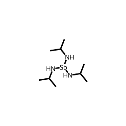 CC(C)[NH][Sb]([NH]C(C)C)[NH]C(C)C